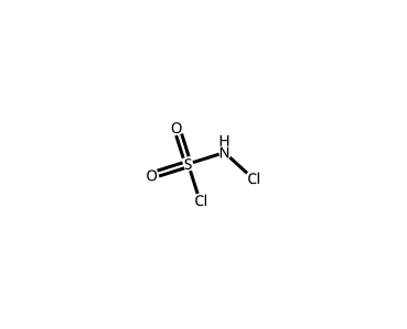 O=S(=O)(Cl)NCl